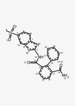 CS(=O)(=O)c1ccc2nc(NC(=O)c3cccc(C(N)=O)c3-c3ccccc3)sc2c1